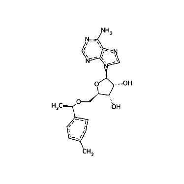 Cc1ccc([C@@H](C)OC[C@H]2O[C@@H](n3cnc4c(N)ncnc43)[C@H](O)[C@@H]2O)cc1